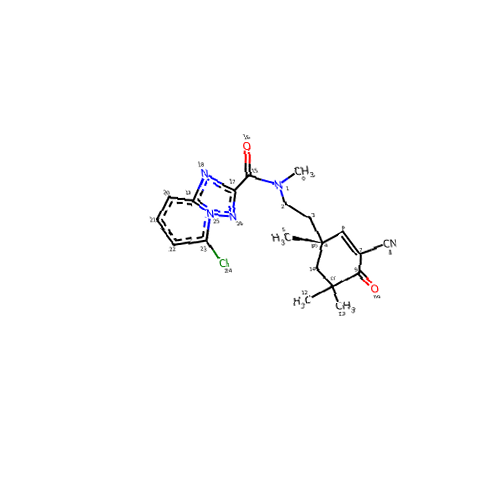 CN(CC[C@]1(C)C=C(C#N)C(=O)C(C)(C)C1)C(=O)c1nc2cccc(Cl)n2n1